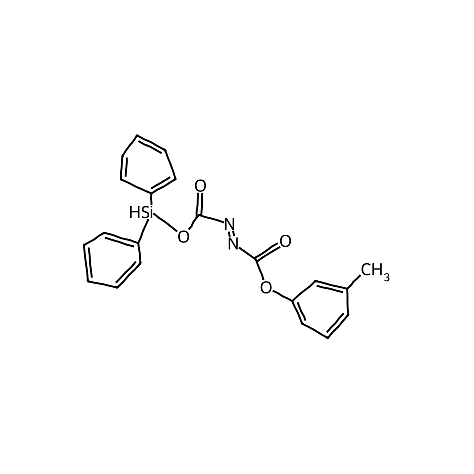 Cc1cccc(OC(=O)N=NC(=O)O[SiH](c2ccccc2)c2ccccc2)c1